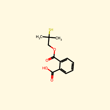 CC(C)(S)COC(=O)c1ccccc1C(=O)O